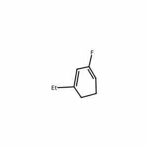 CCC1=CC(F)=CCC1